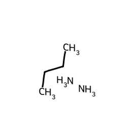 CCCC.N.N